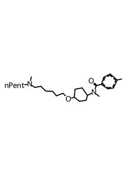 CCCCCN(C)CCCCCCOC1CCC(N(C)C(=O)c2ccc(C)cc2)CC1